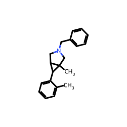 Cc1ccccc1C1C2CN(Cc3ccccc3)CC21C